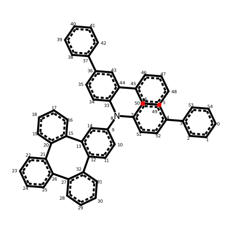 c1ccc(-c2ccc(N(c3ccc4c(c3)-c3ccccc3-c3ccccc3-c3ccccc3-4)c3ccc(-c4ccccc4)cc3-c3ccccc3)cc2)cc1